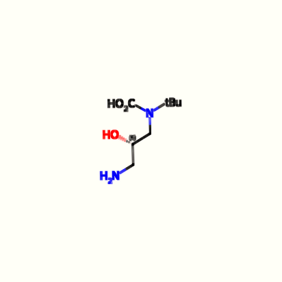 CC(C)(C)N(C[C@@H](O)CN)C(=O)O